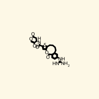 N=C(N)Nc1ccc2c(c1)CCCCc1sc(C(=O)N[C@H]3CC(=O)OC=C3O)cc1OC2=O